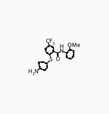 COc1ccccc1NC(=O)c1cc(C(F)(F)F)ccc1Sc1ccc(N)cc1